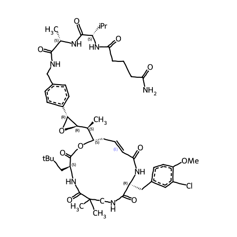 COc1ccc(C[C@H]2NC(=O)/C=C/C[C@@H]([C@H](C)[C@H]3O[C@@H]3c3ccc(CNC(=O)[C@H](C)NC(=O)[C@@H](NC(=O)CCCC(N)=O)C(C)C)cc3)OC(=O)[C@H](CC(C)(C)C)NC(=O)C(C)(C)CNC2=O)cc1Cl